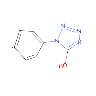 Oc1nnnn1-c1cc[c]cc1